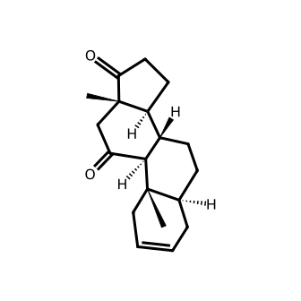 C[C@]12CC=CC[C@@H]1CC[C@@H]1[C@@H]2C(=O)C[C@]2(C)C(=O)CC[C@@H]12